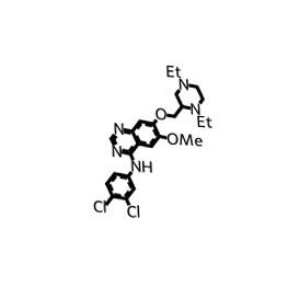 CCN1CCN(CC)C(COc2cc3ncnc(Nc4ccc(Cl)c(Cl)c4)c3cc2OC)C1